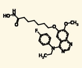 CCN(c1ccc(F)cc1)c1ncnc2cc(OC)c(OCCCCCCC(=O)NO)cc12